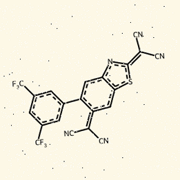 N#CC(C#N)=c1nc2cc(-c3cc(C(F)(F)F)cc(C(F)(F)F)c3)c(=C(C#N)C#N)cc2s1